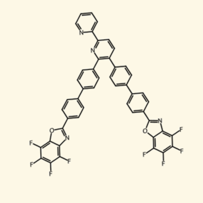 Fc1c(F)c(F)c2oc(-c3ccc(-c4ccc(-c5ccc(-c6ccccn6)nc5-c5ccc(-c6ccc(-c7nc8c(F)c(F)c(F)c(F)c8o7)cc6)cc5)cc4)cc3)nc2c1F